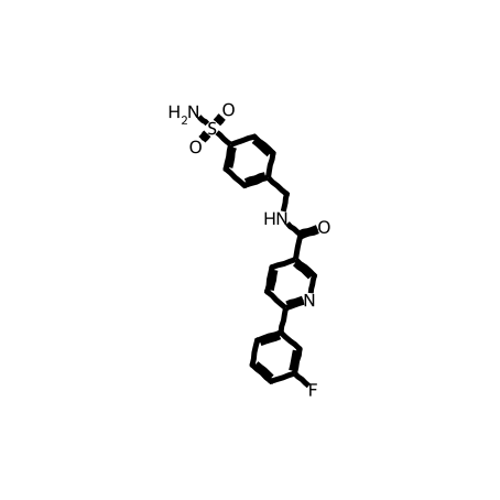 NS(=O)(=O)c1ccc(CNC(=O)c2ccc(-c3cccc(F)c3)nc2)cc1